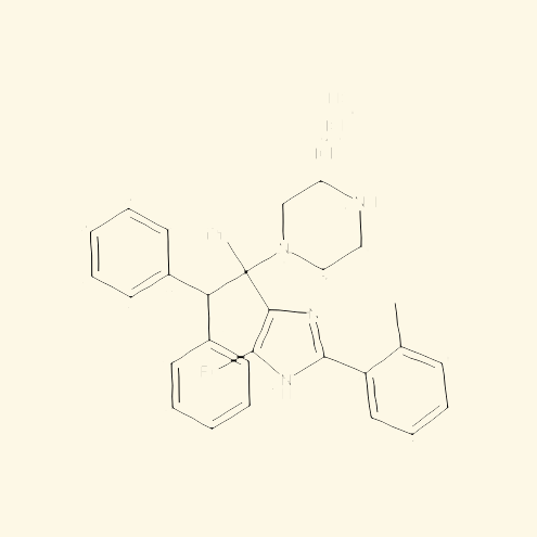 CCc1[nH]c(-c2ccccc2C)nc1C(C(C)C)(C(c1ccccc1)c1ccccc1)N1CCNCC1.Cl.Cl.Cl